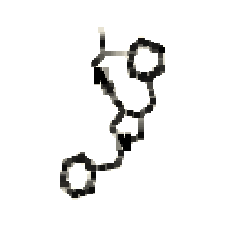 CC(C)c1cccc(CC2CN(Cc3ccccc3)CC2C#N)c1